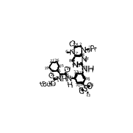 CC(C)N1CC(=O)N(C)c2cnc(Nc3cc(NC(=O)[C@H](NC(=O)OC(C)(C)C)C4CCCCC4)cc(S(C)(=O)=O)c3)nc21